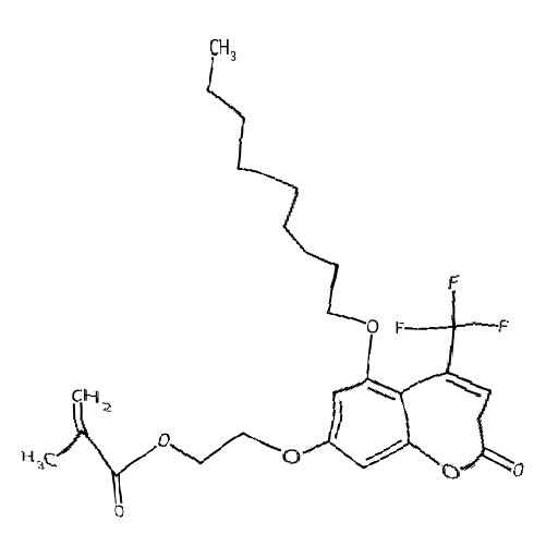 C=C(C)C(=O)OCCOc1cc(OCCCCCCCC)c2c(C(F)(F)F)cc(=O)oc2c1